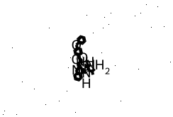 CC(C)[C@H](Nc1nc(CNS(=O)(=O)c2ccc(Oc3ccccc3)cc2)nc2ccccc12)C(N)=O